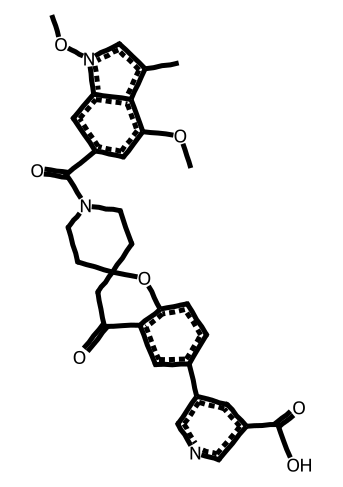 COc1cc(C(=O)N2CCC3(CC2)CC(=O)c2cc(-c4cncc(C(=O)O)c4)ccc2O3)cc2c1c(C)cn2OC